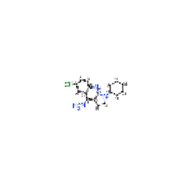 Nc1c2c(nc3ccc(Cl)cc13)N(C1CCCCC1)CC2